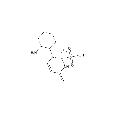 CC1(S(=O)(=O)O)NC(=O)C=CN1C1CCCCC1N